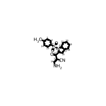 Cc1ccc(S(=O)(=O)n2c(C(=O)C(C#N)=CN)cc3ccccc32)cc1